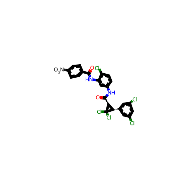 O=C(Nc1cc(NC(=O)[C@H]2[C@H](c3cc(Cl)cc(Cl)c3)C2(Cl)Cl)ccc1Cl)c1ccc([N+](=O)[O-])cc1